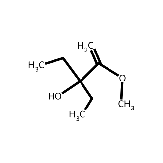 C=C(OC)C(O)(CC)CC